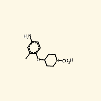 Cc1cc(N)ccc1OC1CCN(C(=O)O)CC1